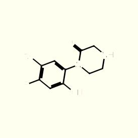 Cc1cc(F)c(Br)cc1N1CCNCC1=O